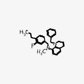 CCCc1ccc(CN(C)c2cccc3c2N(Cc2ccccc2)CCC3)cc1F